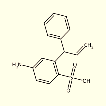 C=CC(c1ccccc1)c1cc(N)ccc1S(=O)(=O)O